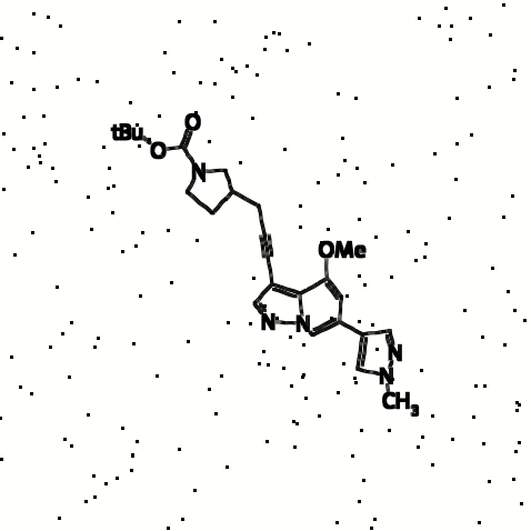 COc1cc(-c2cnn(C)c2)cn2ncc(C#CCC3CCN(C(=O)OC(C)(C)C)C3)c12